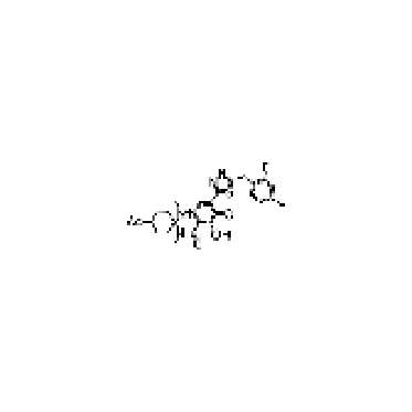 CC(=O)C1CCC2(CC1)N(C)C(=O)c1c(O)c(=O)c(-c3nnc(Cc4ccc(F)cc4F)s3)cn1N2C